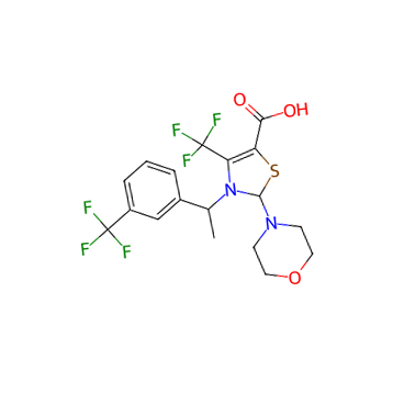 CC(c1cccc(C(F)(F)F)c1)N1C(C(F)(F)F)=C(C(=O)O)SC1N1CCOCC1